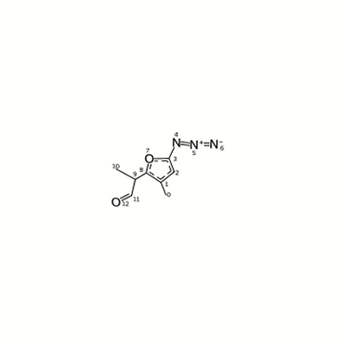 Cc1cc(N=[N+]=[N-])oc1C(C)C=O